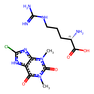 Cn1c(=O)c2[nH]c(Cl)nc2n(C)c1=O.N=C(N)NCCC[C@H](N)C(=O)O